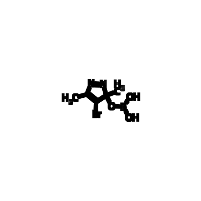 CC1=C(Br)C(C)(OB(O)O)N=N1